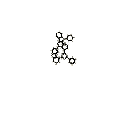 C1=CC(n2c3ccccc3c3cc(-c4ccc5oc6c(c5c4)C(c4nc(-c5ccccc5)nc(-c5ccccc5)n4)=CCC6)ccc32)=CCC1